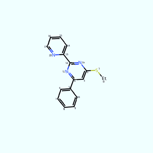 CCSc1cc(-c2ccccc2)nc(-c2ccccn2)n1